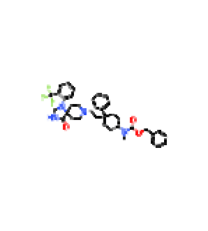 CN(C(=O)OCc1ccccc1)C1CCC(CCN2CCC3(CC2)C(=O)NCN3c2ccccc2C(F)(F)F)(c2ccccc2)CC1